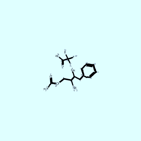 NC(=O)OCC(N)C(O)Cc1ccccc1.O=C(O)C(F)(F)F